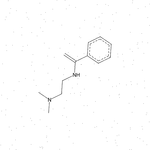 C=C(NCCN(C)C)c1ccccc1